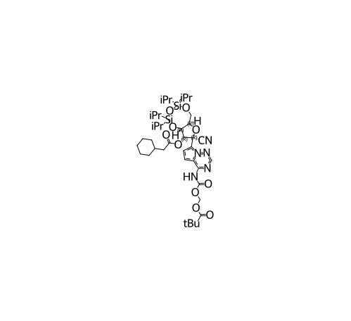 CC(C)[Si]1(C(C)C)OC[C@H]2O[C@@](C#N)(c3ccc4c(NC(=O)OCOC(=O)C(C)(C)C)ncnn34)[C@H](OC(=O)CC3CCCCC3)[C@@H]2O[Si](C(C)C)(C(C)C)O1